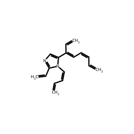 C=C/C=C\C=C(/C=C)c1cnc(C=C)n1/C=C\C=C